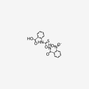 O=C(O)c1ccccc1NC(=S)ONC(=O)c1ccccc1[N+](=O)[O-]